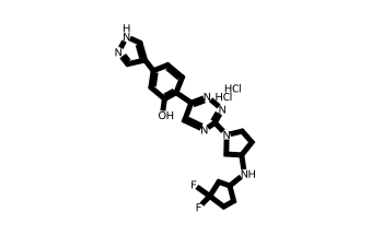 Cl.Cl.Oc1cc(-c2cn[nH]c2)ccc1-c1cnc(N2CCC(NC3CCC(F)(F)C3)C2)nn1